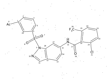 CC(=O)c1cccc(S(=O)(=O)n2ncc3ccc(NC(=O)c4c(Cl)cccc4C(F)(F)F)cc32)c1